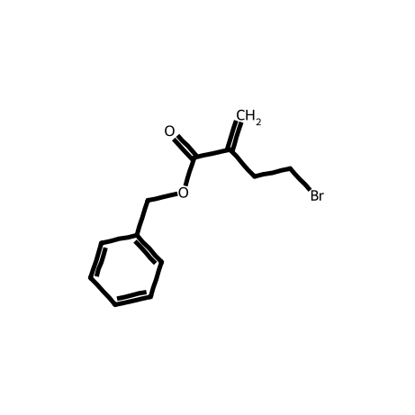 C=C(CCBr)C(=O)OCc1ccccc1